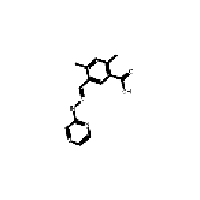 Cc1cc(C)c(C(=O)O)cc1C=NNc1cnccn1